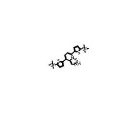 [CH3][Sn]([CH3])([CH3])[c]1ccc(C2=CC=C(c3cc[c]([Sn]([CH3])([CH3])[CH3])s3)N3SNC=C23)s1